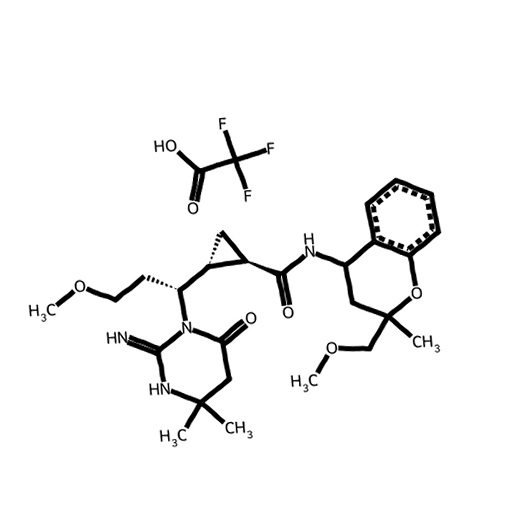 COCC[C@H]([C@@H]1C[C@H]1C(=O)NC1CC(C)(COC)Oc2ccccc21)N1C(=N)NC(C)(C)CC1=O.O=C(O)C(F)(F)F